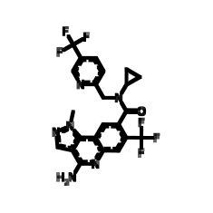 Cn1ncc2c(N)nc3cc(C(F)(F)F)c(C(=O)N(Cc4ccc(C(F)(F)F)cn4)C4CC4)cc3c21